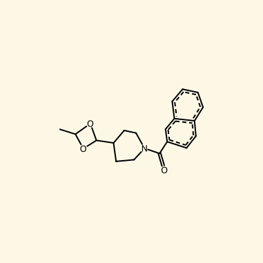 CC1OC(C2CCN(C(=O)c3ccc4ccccc4c3)CC2)O1